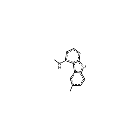 CNc1cccc2oc3ccc(C)cc3c12